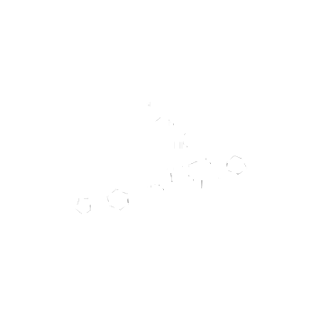 Cc1csc(Cc2ccc(COCNC(=O)CNC(=O)[C@H](Cc3ccccc3)NC(=O)CNC(=O)CNC(=O)CBr)cc2)c1